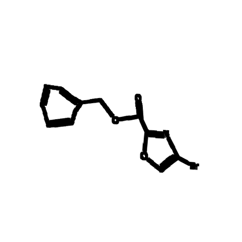 O=C(OCc1ccccc1)c1nc(Br)co1